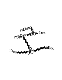 CCCCCCCCCCCCCCCCCCOP(OCCCCCCCCCCCCCCCCCC)OCCCCCCCCCCCCCCCCCC.CCCCCCCCCCCCOP(OCCCCCCCCCCCC)OCCCCCCCCCCCC